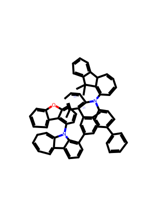 C=C(C)/C(=C(\C=C/C)N(C1=C2C(C=CC=C1)c1ccccc1C2(C)C)c1ccc(-c2ccccc2)cc1)c1cc(-c2cccc3c4c(n(-c5cccc6oc7ccccc7c56)c23)=CCC=CC=4)ccc1C